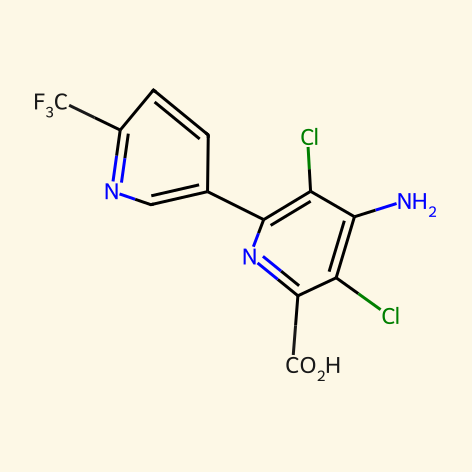 Nc1c(Cl)c(C(=O)O)nc(-c2ccc(C(F)(F)F)nc2)c1Cl